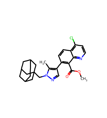 COC(=O)c1c(-c2cnn(CC34CC5CC(CC(C5)C3)C4)c2C)ccc2c(Cl)ccnc12